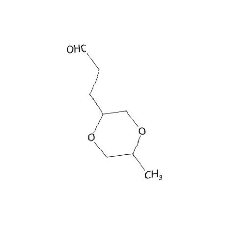 CC1COC(CCC=O)CO1